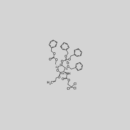 C=CCO[C@H]1O[C@H](COC(=O)OCc2ccccc2)[C@@H](OP(=O)(OCc2ccccc2)OCc2ccccc2)[C@H](OCc2ccccc2)[C@H]1NC(=O)OCC(Cl)(Cl)Cl